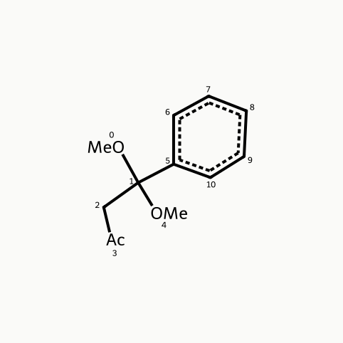 COC(CC(C)=O)(OC)c1ccccc1